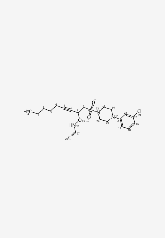 CCCCCC#CC(CS(=O)(=O)N1CCN(c2cccc(Cl)c2)CC1)ONC=O